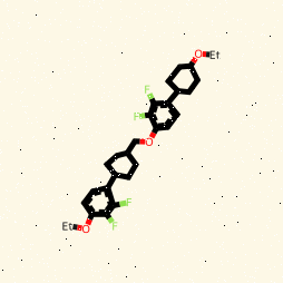 CCOc1ccc(C2CCC(COc3ccc(C4CCC(OCC)CC4)c(F)c3F)CC2)c(F)c1F